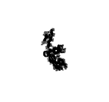 CCCN(CCCC[C@@H](C(=O)N1CCN(c2ncnc3c2[C@H](C)C[C@@H]3F)CC1)c1ccc(Cl)c(Cl)c1)C(C)C